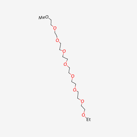 [CH2]COCCOCCOCCOCCOCCOCCOCCOCCOC